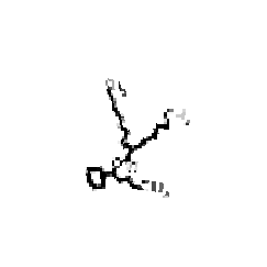 CCCCCCCCC(CCCCCC)C(=O)OC(CCCC)c1ccccc1